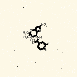 CC1(C)Oc2cc([N+](=O)[O-])sc2[C@@H](NC(=O)c2ccc(F)c(F)c2)[C@@H]1O